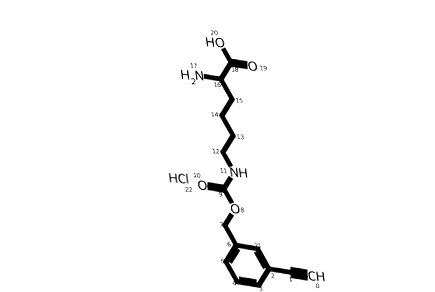 C#Cc1cccc(COC(=O)NCCCCC(N)C(=O)O)c1.Cl